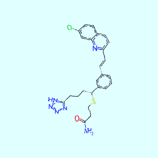 NC(=O)CCSC(CCCc1nnn[nH]1)c1cccc(C=Cc2ccc3ccc(Cl)cc3n2)c1